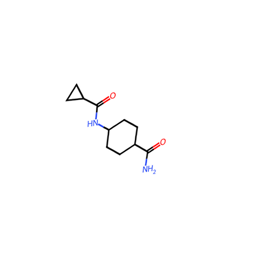 NC(=O)C1CCC(NC(=O)C2CC2)CC1